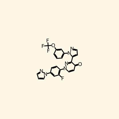 O=c1ccn(-c2ccc(-n3cccn3)cc2F)nc1-c1ccnn1-c1cccc(OC(F)(F)F)c1